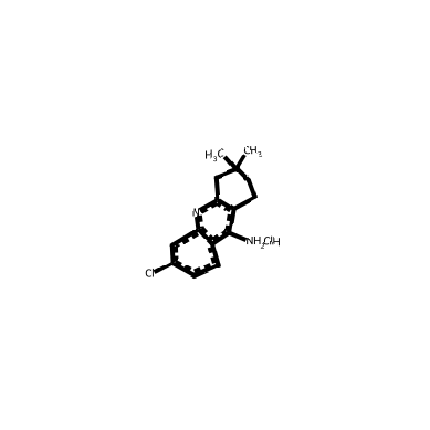 CC1(C)CCc2c(nc3cc(Cl)ccc3c2N)C1.Cl